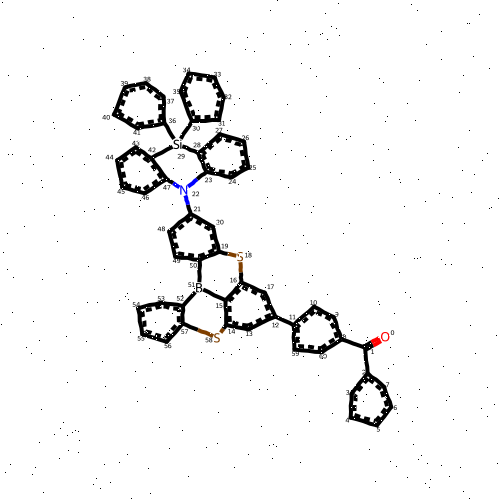 O=C(c1ccccc1)c1ccc(-c2cc3c4c(c2)Sc2cc(N5c6ccccc6[Si](c6ccccc6)(c6ccccc6)c6ccccc65)ccc2B4c2ccccc2S3)cc1